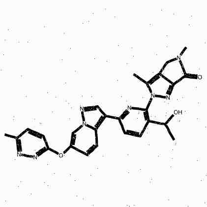 Cc1ccc(Oc2ccc3c(-c4ccc(C(C)O)c(-n5nc6c(c5C)CN(C)C6=O)n4)cnn3c2)nn1